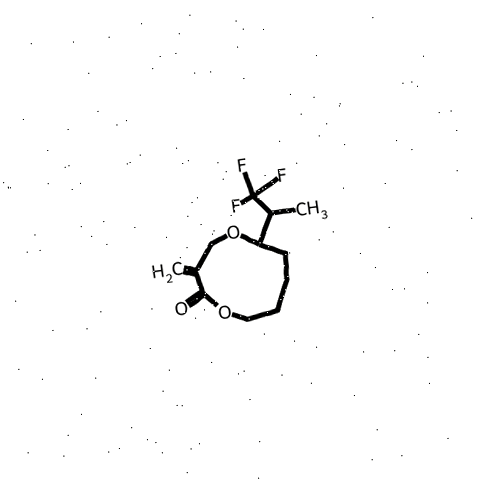 C=C1COC(C(C)C(F)(F)F)CCCCOC1=O